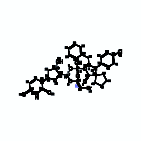 O=C(OP(=O)(O)O[C@H](O/C=C/Br)[C@H]1O[C@@H](n2ccc(=O)[nH]c2=O)C[C@@H]1O)C1(N(OCc2ccccc2)c2ccc(Cl)cc2)CCCC1